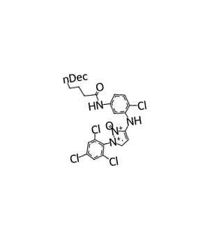 CCCCCCCCCCCCCC(=O)Nc1ccc(Cl)c(NC2=CC[N+](c3c(Cl)cc(Cl)cc3Cl)[N+]2=O)c1